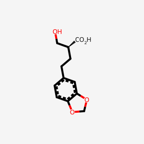 O=C(O)[C@H](CO)CCc1ccc2c(c1)OCO2